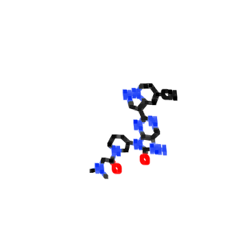 CN(C)CC(=O)N1CCCC(n2c(=O)[nH]c3cnc(-c4cnn5ccc(C#N)cc45)nc32)C1